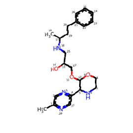 Cc1cnc(C2NCCOC2OCC(O)CNC(C)CCc2ccccc2)cn1